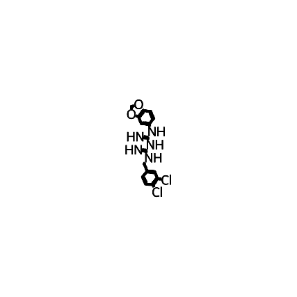 N=C(NCc1ccc(Cl)c(Cl)c1)NC(=N)Nc1ccc2c(c1)OCO2